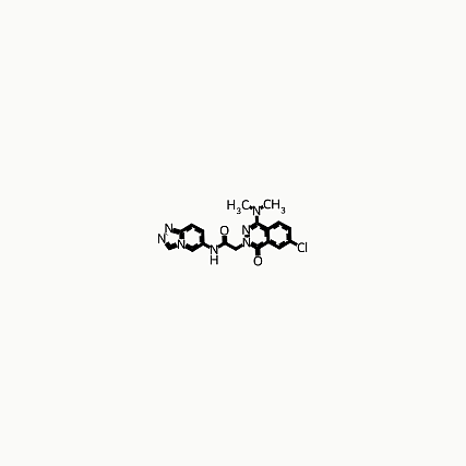 CN(C)c1nn(CC(=O)Nc2ccc3nncn3c2)c(=O)c2cc(Cl)ccc12